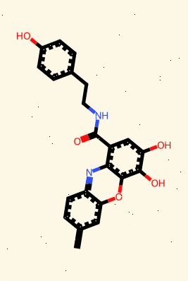 C=c1ccc2c(c1)Oc1c(O)c(O)cc(C(=O)NCCc3ccc(O)cc3)c1N=2